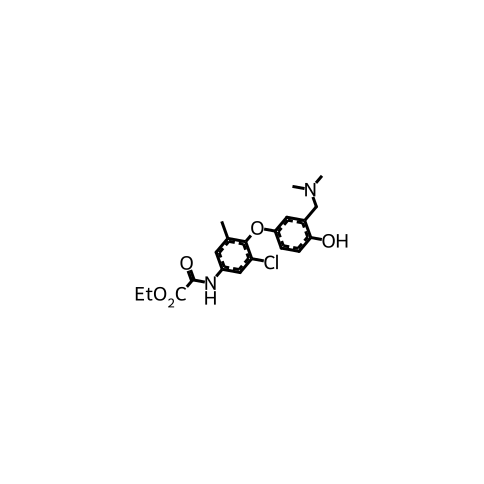 CCOC(=O)C(=O)Nc1cc(C)c(Oc2ccc(O)c(CN(C)C)c2)c(Cl)c1